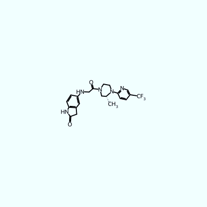 C[C@@H]1CN(C(=O)CNc2ccc3c(c2)CC(=O)N3)CCN1c1ccc(C(F)(F)F)cn1